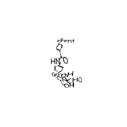 CCCCCc1ccc(C(=O)Nc2ccc(S(=O)(=O)CC(CO)N(O)C=O)cc2)cc1